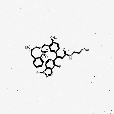 CC[C@H]1Cc2ccccc2S(=O)(=O)N(Cc2cc(C(=CC(=O)NCCNC)c3ccc4c(nnn4CC)c3F)ccc2C)C1